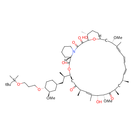 CO[C@H]1C[C@@H]2CC[C@@H](C)[C@@](O)(O2)C(=O)C(=O)N2CCCC[C@H]2C(=O)O[C@H]([C@H](C)C[C@@H]2CC[C@@H](OCCCO[Si](C)(C)C(C)(C)C)[C@H](OC)C2)CC(=O)[C@H](C)/C=C(\C)[C@@H](O)[C@@H](OC)C(=O)[C@H](C)C[C@H](C)/C=C/C=C/C=C/1C